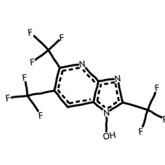 On1c(C(F)(F)F)nc2nc(C(F)(F)F)c(C(F)(F)F)cc21